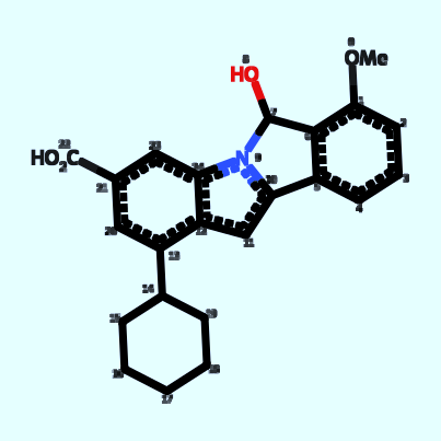 COc1cccc2c1C(O)n1c-2cc2c(C3CCCCC3)cc(C(=O)O)cc21